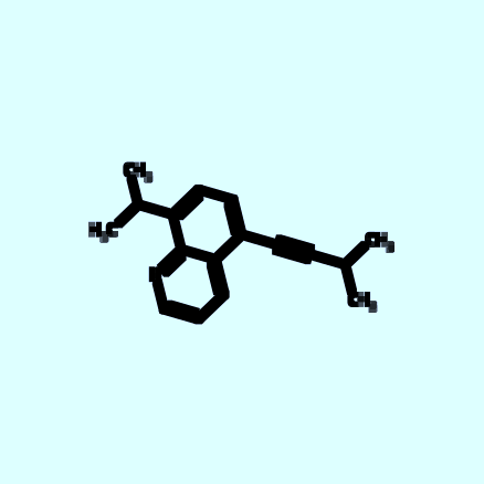 CC(C)C#Cc1ccc(C(C)C)c2ncccc12